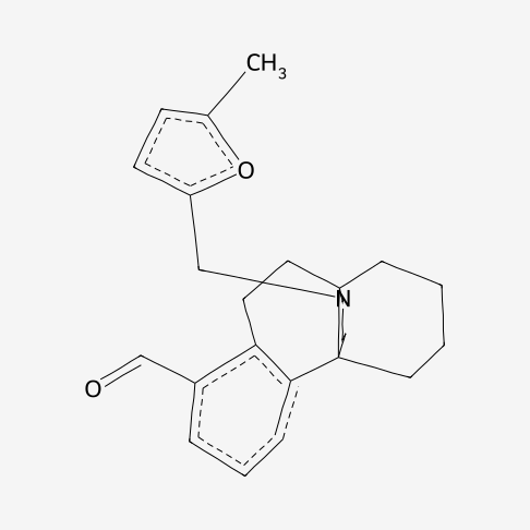 Cc1ccc(CN2CCC34CCCCC3(CCc3c(C=O)cccc34)C2)o1